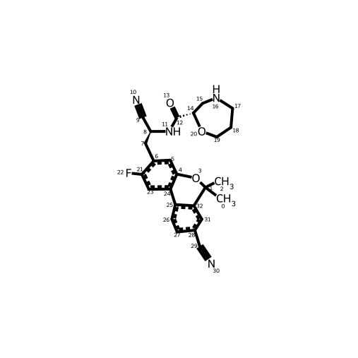 CC1(C)Oc2cc(C[C@@H](C#N)NC(=O)[C@@H]3CNCCCO3)c(F)cc2-c2ccc(C#N)cc21